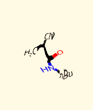 C=C(C#N)C(=O)NCCCC